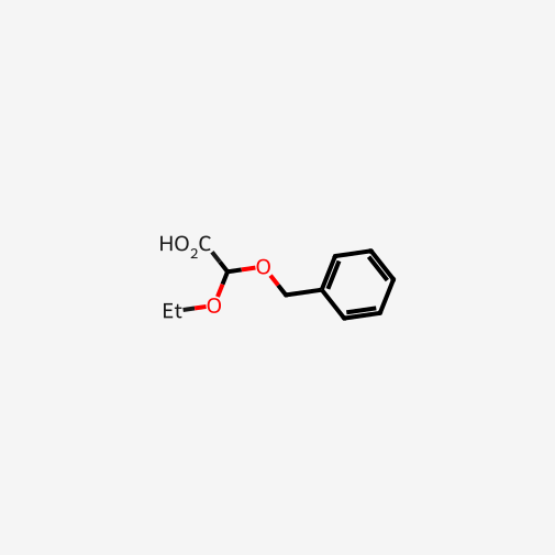 CCOC(OCc1ccccc1)C(=O)O